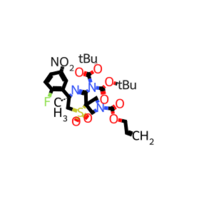 C=CCOC(=O)N1CC2(C1)C(N(C(=O)OC(C)(C)C)C(=O)OC(C)(C)C)=N[C@](C)(c1cc([N+](=O)[O-])ccc1F)CS2(=O)=O